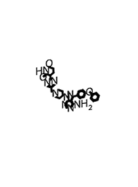 Nc1ncnc2c1c(-c1ccc(Oc3ccccc3)cc1)nn2C1CCN(Cc2cnc(C3CCC(=O)NC3=O)nc2)CC1